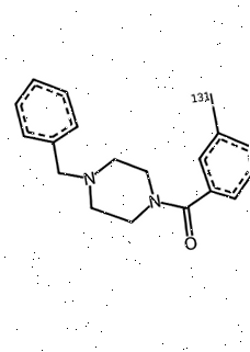 O=C(c1cncc([131I])c1)N1CCN(Cc2ccccc2)CC1